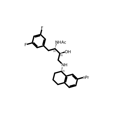 CCCc1ccc2c(c1)[C@@H](NC[C@H](O)[C@H](Cc1cc(F)cc(F)c1)NC(C)=O)CCC2